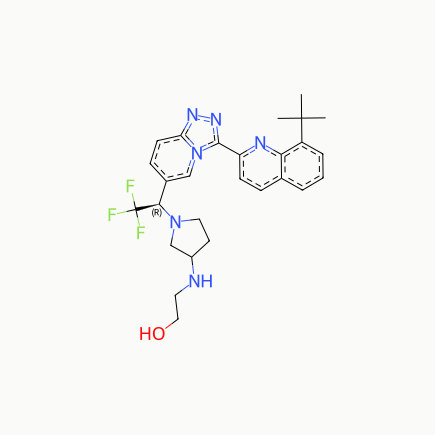 CC(C)(C)c1cccc2ccc(-c3nnc4ccc([C@@H](N5CCC(NCCO)C5)C(F)(F)F)cn34)nc12